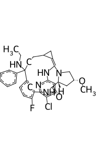 CCNC1(c2ccccc2)CCC2C/C2=C(/Nc2ccc(Cl)cn2)N2C[C@H](OC)C[C@@H]2C(=O)Nc2cc1ccc2F